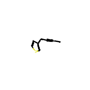 CC#CCc1[c]csc1